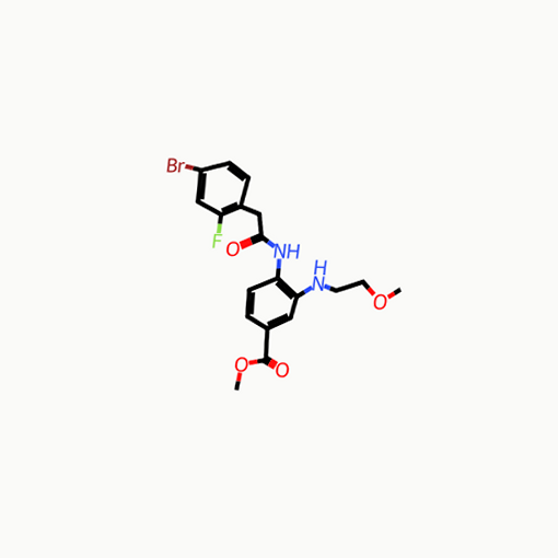 COCCNc1cc(C(=O)OC)ccc1NC(=O)Cc1ccc(Br)cc1F